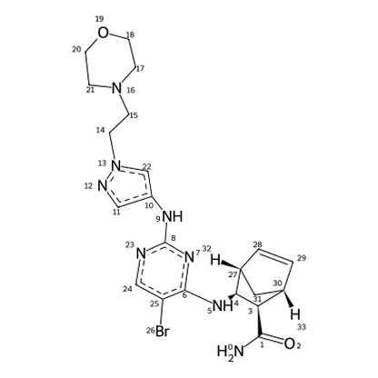 NC(=O)[C@H]1[C@@H](Nc2nc(Nc3cnn(CCN4CCOCC4)c3)ncc2Br)[C@@H]2C=C[C@H]1C2